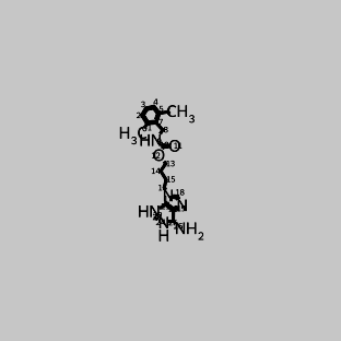 Cc1cccc(C)c1CNC(=O)OCCCCn1cnc2c1NCNC2N